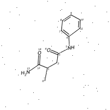 CC(CC(=O)Nc1ccccc1)C(N)=O